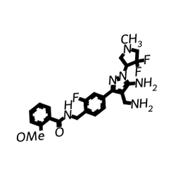 COc1ccccc1C(=O)NCc1ccc(-c2nn(C3CN(C)CC3(F)F)c(N)c2CN)cc1F